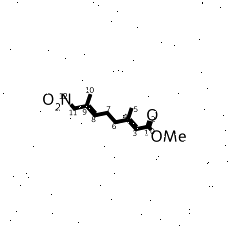 COC(=O)/C=C(\C)CC/C=C(\C)C[N+](=O)[O-]